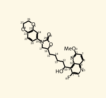 COc1ccc2ncc(F)c(C(O)CCCCC3CN(c4ccc5c(c4)OCCO5)C(=O)O3)c2n1